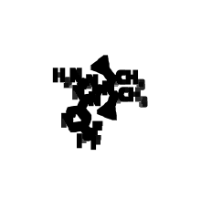 C[C@H](C1CC1)N(c1nc(N)nc(-c2cncc(C(F)(F)F)c2)n1)[C@H](C)C1CC1